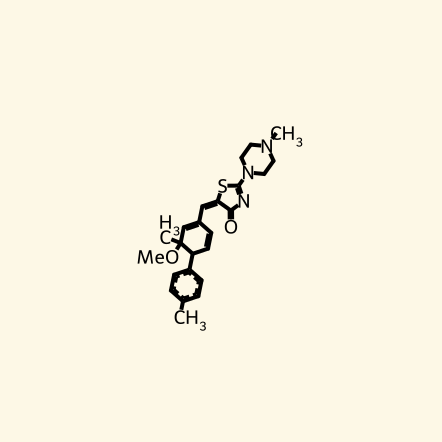 COC1(C)C=C(/C=C2/SC(N3CCN(C)CC3)=NC2=O)C=CC1c1ccc(C)cc1